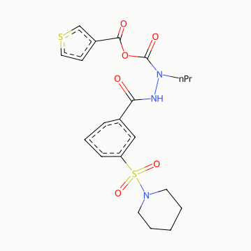 CCCN(NC(=O)c1cccc(S(=O)(=O)N2CCCCC2)c1)C(=O)OC(=O)c1ccsc1